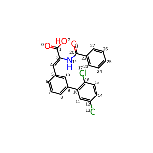 O=C(O)C(=Cc1cccc(-c2cc(Cl)ccc2Cl)c1)NC(=O)c1ccccc1